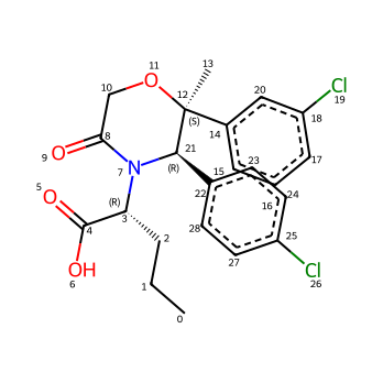 CCC[C@H](C(=O)O)N1C(=O)CO[C@@](C)(c2cccc(Cl)c2)[C@H]1c1ccc(Cl)cc1